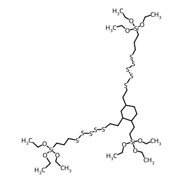 CCO[Si](CCCSSSSSCCC1CCC(CC[Si](OCC)(OCC)OCC)C(CCSSSSSCCC[Si](OCC)(OCC)OCC)C1)(OCC)OCC